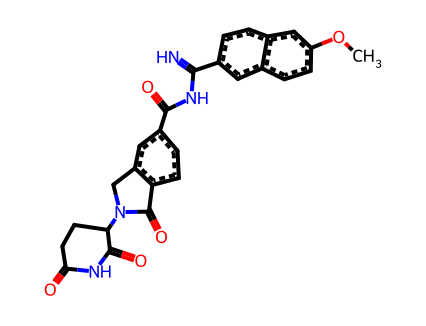 COc1ccc2cc(C(=N)NC(=O)c3ccc4c(c3)CN(C3CCC(=O)NC3=O)C4=O)ccc2c1